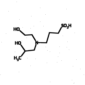 CC(O)CN(CCO)CCCS(=O)(=O)O